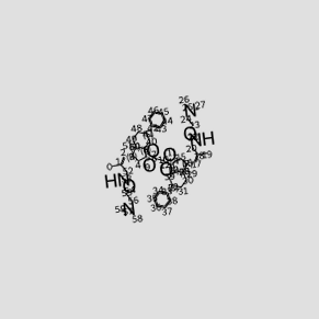 CC(=C[C@H]1CC[C@]2(OC(=O)C(=O)O[C@]34CC[C@H](C=C(C)CNOCCN(C)C)[C@@]3(C)CC[C@H](c3ccccc3)C4)C[C@@H](c3ccccc3)CC[C@]12C)CNOCCN(C)C